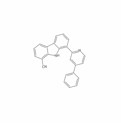 N#Cc1cccc2c1[nH]c1c(-c3cc(-c4ccccc4)ccn3)cccc12